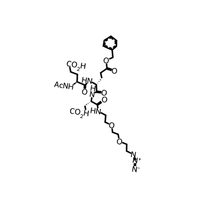 CC(=O)N[C@@H](CCC(=O)O)C(=O)N[C@H](CCC(=O)OCc1ccccc1)C(=O)N[C@@H](CC(=O)O)C(=O)NCCOCCOCCN=[N+]=[N-]